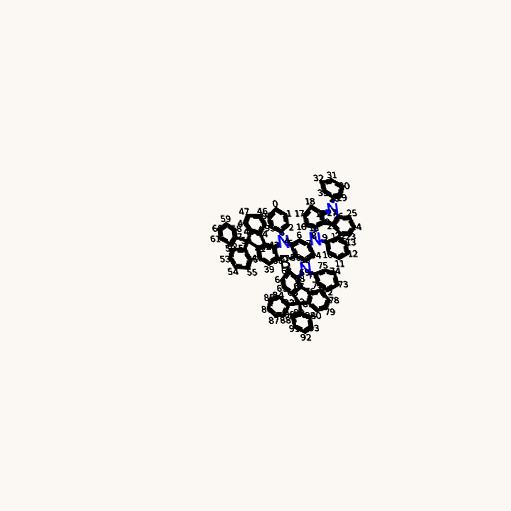 c1ccc(N2c3cc(N(c4ccccc4)c4cccc5c4c4ccccc4n5-c4ccccc4)cc4c3B(c3ccc5c(c32)-c2ccccc2C5(c2ccccc2)c2ccccc2)c2ccc3c(c2N4c2ccccc2)-c2ccccc2C3(c2ccccc2)c2ccccc2)cc1